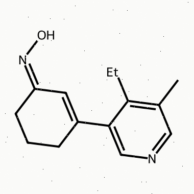 CCc1c(C)cncc1C1=CC(=NO)CCC1